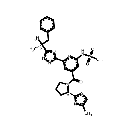 Cc1csc([C@H]2CCCN2C(=O)c2cc(NS(C)(=O)=O)nc(-c3nnc([C@@](C)(N)Cc4ccccc4)o3)c2)n1